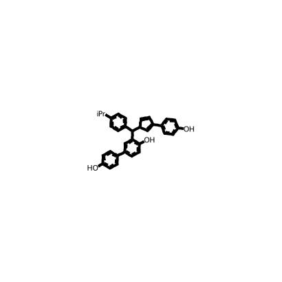 CC(C)c1ccc(C(c2cc(-c3ccc(O)cc3)ccc2O)C2C=CC(c3ccc(O)cc3)=C2)cc1